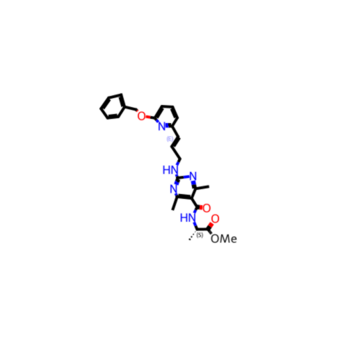 COC(=O)[C@H](C)NC(=O)c1c(C)nc(NC/C=C/c2cccc(OCc3ccccc3)n2)nc1C